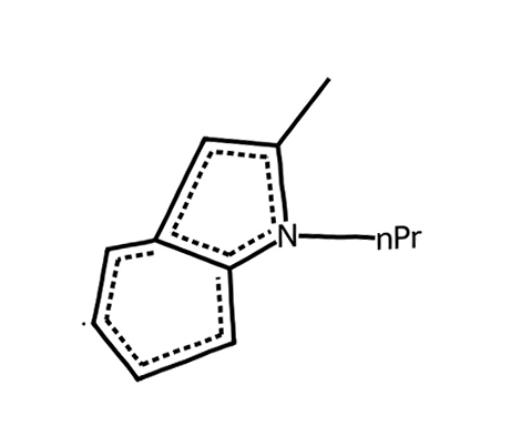 CCCn1c(C)cc2c[c]ccc21